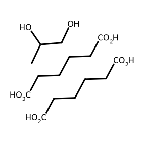 CC(O)CO.O=C(O)CCCCC(=O)O.O=C(O)CCCCC(=O)O